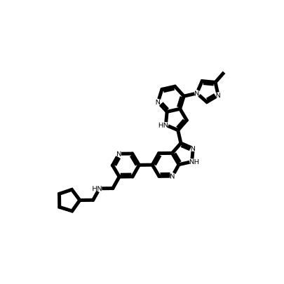 Cc1cn(-c2ccnc3[nH]c(-c4n[nH]c5ncc(-c6cncc(CNCC7CCCC7)c6)cc45)cc23)cn1